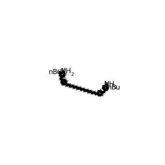 CCCCc1cc(Cc2ccc(CCCCCCCCCCCCCCCCCc3ccc(Cc4ccc(N)c(CCCC)c4)cc3)cc2)ccc1N